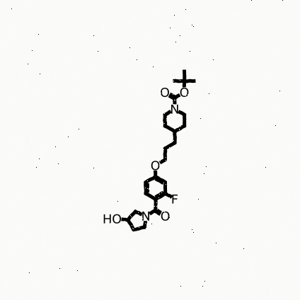 CC(C)(C)OC(=O)N1CCC(CCCOc2ccc(C(=O)N3CCC(O)C3)c(F)c2)CC1